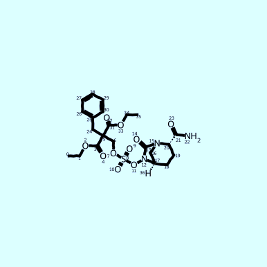 CCOC(=O)C(COS(=O)(=O)ON1C(=O)N2C[C@H]1CC[C@H]2C(N)=O)(Cc1ccccc1)C(=O)OCC